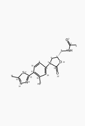 CC(=O)NC[C@H]1CN(c2ccc(-c3nnc(C)s3)c(F)c2)C(=O)O1